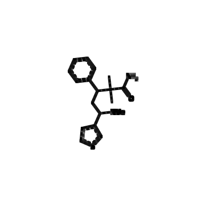 CNC(CC(c1ccccc1)C(C)(C)C(N)=O)c1ccsc1